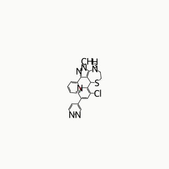 Cn1nc(-c2ccccn2)c2c1NCCSC2c1ccc(-c2ccnnc2)cc1Cl